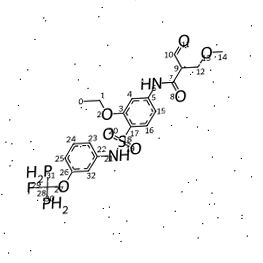 CCOc1cc(NC(=O)C(C=O)COC)ccc1S(=O)(=O)Nc1cccc(OC(F)(P)P)c1